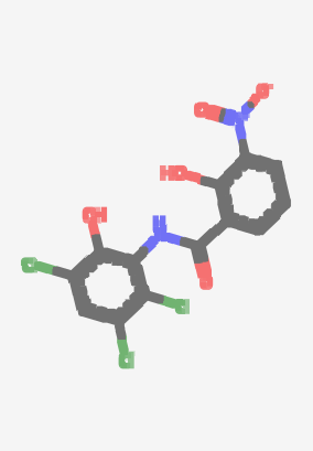 O=C(Nc1c(O)c(Cl)cc(Cl)c1Cl)c1cccc([N+](=O)[O-])c1O